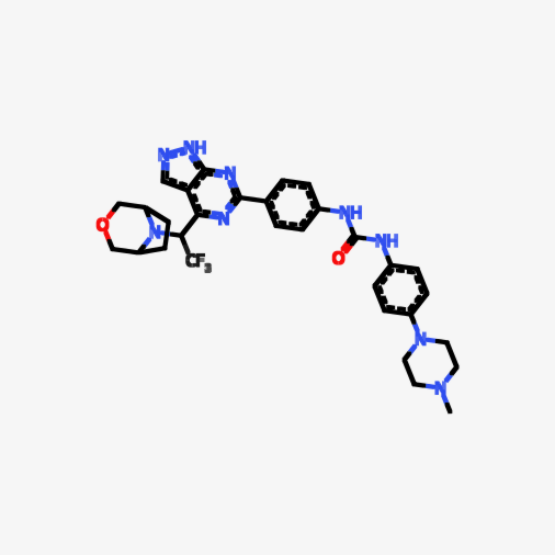 CN1CCN(c2ccc(NC(=O)Nc3ccc(-c4nc(C(N5C6CCC5COC6)C(F)(F)F)c5cn[nH]c5n4)cc3)cc2)CC1